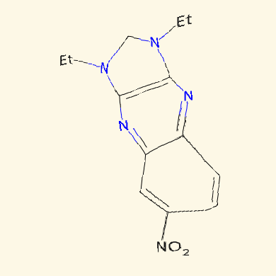 CCN1CN(CC)c2nc3cc([N+](=O)[O-])ccc3nc21